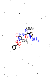 CON=C(C(=O)NC1C(=O)N(OC(=O)c2ccccc2)C1C)c1csc(N)n1